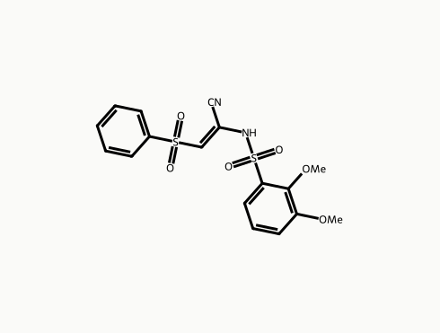 COc1cccc(S(=O)(=O)NC(C#N)=CS(=O)(=O)c2ccccc2)c1OC